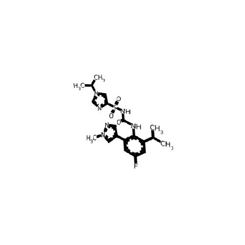 CC(C)c1cc(F)cc(-c2cnn(C)c2)c1NC(=O)NS(=O)(=O)c1cn(C(C)C)cn1